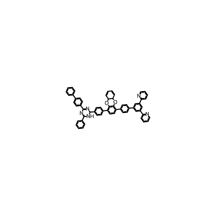 C1=CC2Oc3c(-c4ccc(-c5cc(-c6ccccn6)cc(-c6ccccn6)c5)cc4)ccc(-c4ccc(C5N=C(c6ccc(-c7ccccc7)cc6)N=C(c6ccccc6)N5)cc4)c3OC2C=C1